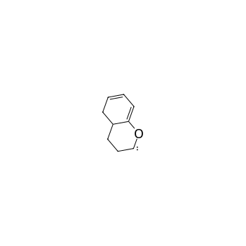 [C]1CCC2CC=CC=C2O1